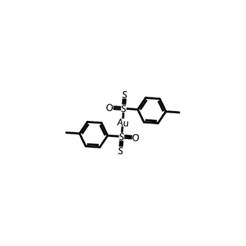 Cc1ccc([S](=O)(=S)[Au][S](=O)(=S)c2ccc(C)cc2)cc1